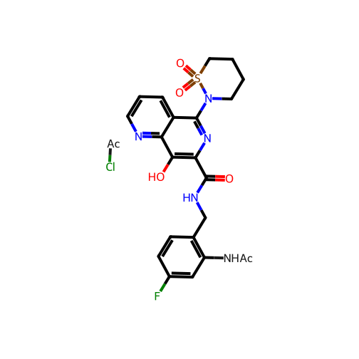 CC(=O)Cl.CC(=O)Nc1cc(F)ccc1CNC(=O)c1nc(N2CCCCS2(=O)=O)c2cccnc2c1O